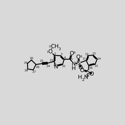 COc1cc(C(=O)NS(=O)(=O)c2ccccc2S(N)(=O)=O)cnc1C#CC1CCCC1